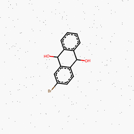 OC1c2ccccc2C(O)c2cc(Br)ccc21